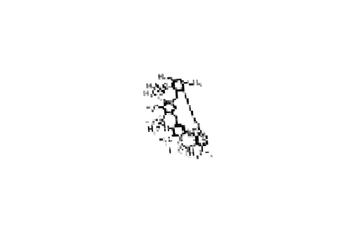 Cc1cc2c3c(C)c1O[Si](C)(C)Oc1ccc4c(c1C)O[Si](C)(C)Oc1c(cc5c(c1C)O[Si](C)(C)Oc1c(cc(c(c1C)O[Si](C)(C)O3)C2)C5)C4